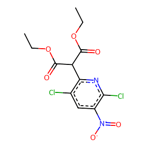 CCOC(=O)C(C(=O)OCC)c1nc(Cl)c([N+](=O)[O-])cc1Cl